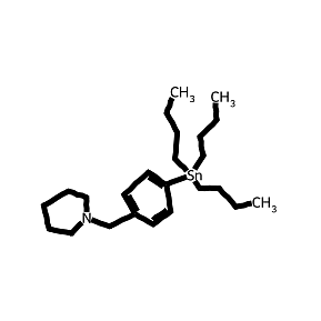 CCC[CH2][Sn]([CH2]CCC)([CH2]CCC)[c]1ccc(CN2CCCCC2)cc1